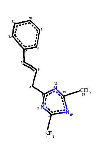 FC(F)(F)c1nc(CC=Cc2ccccc2)nc(C(Cl)(Cl)Cl)n1